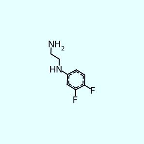 NCCNc1ccc(F)c(F)c1